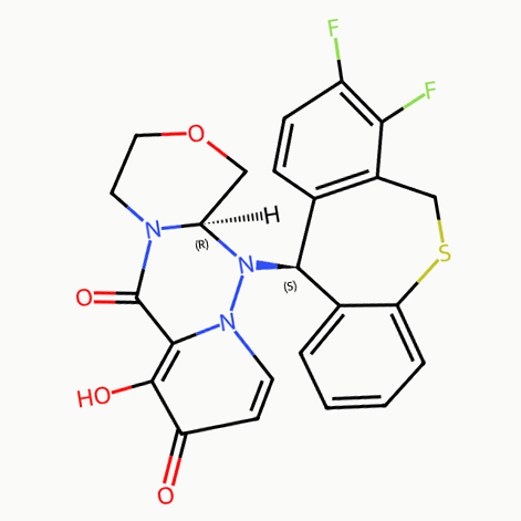 O=C1c2c(O)c(=O)ccn2N([C@@H]2c3ccccc3SCc3c2ccc(F)c3F)[C@@H]2COCCN12